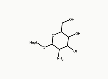 CCCCCCCOC1OC(CO)C(O)C(O)C1N